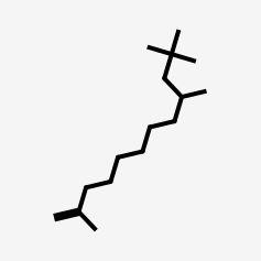 C=C(C)CCCCCCC(C)CC(C)(C)C